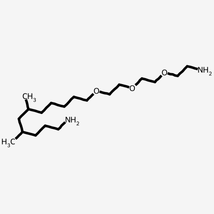 CC(CCCN)CC(C)CCCCCOCCOCCOCCN